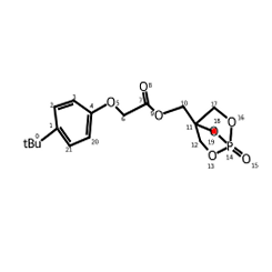 CC(C)(C)c1ccc(OCC(=O)OCC23COP(=O)(OC2)OC3)cc1